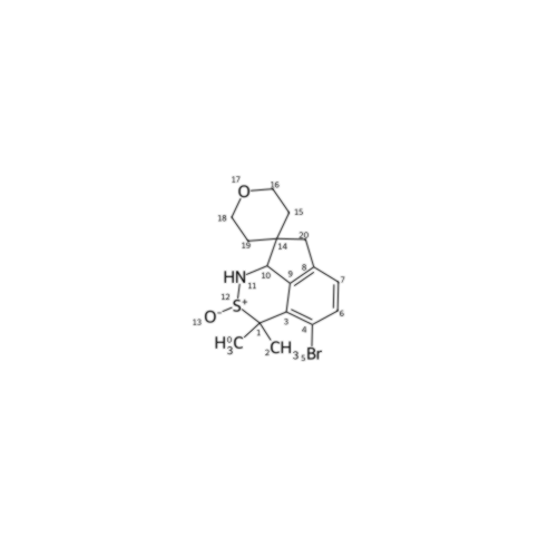 CC1(C)c2c(Br)ccc3c2C(N[S+]1[O-])C1(CCOCC1)C3